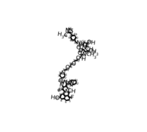 C#Cc1c(F)ccc2cc(O)cc(-c3ncc4c(N5CC6CCC(C5)N6)nc(OC5CCN(CCOCCOCCOCC(=O)NC(C(=O)N6C[C@H](O)C[C@H]6C(=O)NCc6ccc(-c7scnc7C)cc6)C(C)(C)C)CC5)nc4c3F)c12